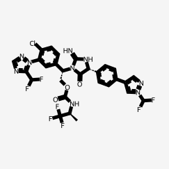 C[C@H](NC(=O)OC[C@H](c1ccc(Cl)c(-n2ncnc2C(F)F)c1)N1C(=N)N[C@H](c2ccc(-c3cnn(C(F)F)c3)cc2)C1=O)C(F)(F)F